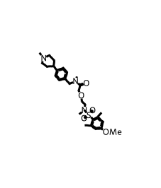 COc1cc(C)c(S(=O)(=O)N(C)CCOCC(=O)N(C)Cc2ccc(C3CCN(C)CC3)cc2)c(C)c1